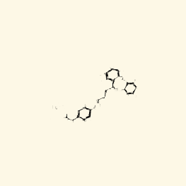 CCCOC(Cc1ccc(OCCCC2Sc3ccccc3Oc3ccccc32)cc1)C(=O)O